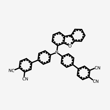 N#Cc1ccc(-c2ccc(N(c3ccc(-c4ccc(C#N)c(C#N)c4)cc3)c3cccc4c3oc3ccccc34)cc2)cc1C#N